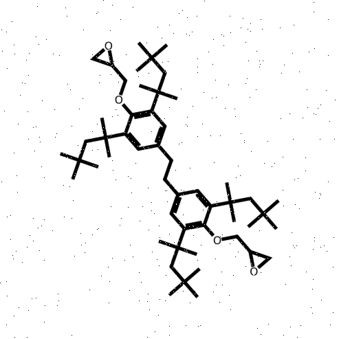 CC(C)(C)CC(C)(C)c1cc(CCc2cc(C(C)(C)CC(C)(C)C)c(OCC3CO3)c(C(C)(C)CC(C)(C)C)c2)cc(C(C)(C)CC(C)(C)C)c1OCC1CO1